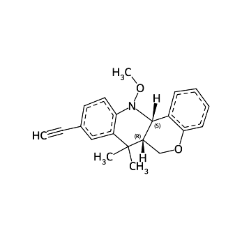 C#Cc1ccc2c(c1)C(C)(C)[C@H]1COc3ccccc3[C@H]1N2OC